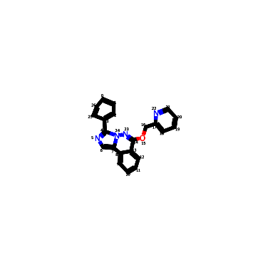 c1ccc(-c2ncc3c4ccccc4c(OCc4ccccn4)nn23)cc1